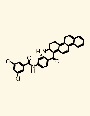 NC1CCc2c3c(ccc2=C1C(=O)c1ccc(NC(=O)c2cc(Cl)cc(Cl)c2)cc1)=c1ccccc1=CC3